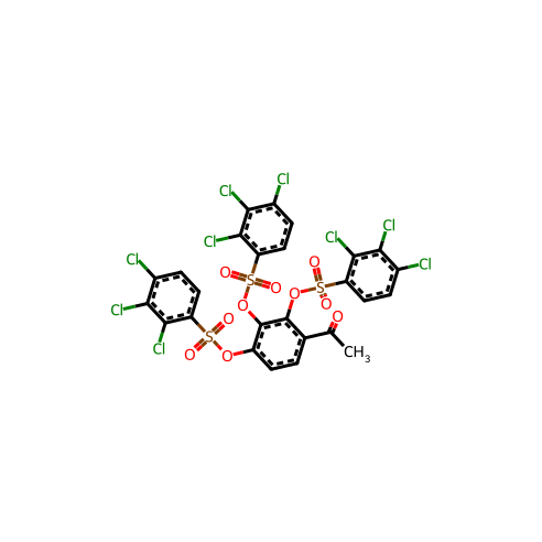 CC(=O)c1ccc(OS(=O)(=O)c2ccc(Cl)c(Cl)c2Cl)c(OS(=O)(=O)c2ccc(Cl)c(Cl)c2Cl)c1OS(=O)(=O)c1ccc(Cl)c(Cl)c1Cl